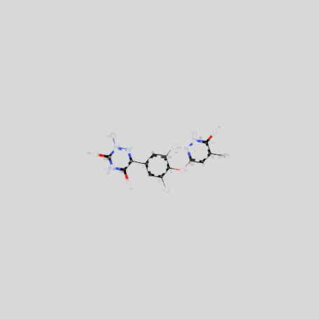 CCn1nc(-c2cc(Cl)c(Oc3cc(C(C)C)c(=O)[nH]n3)c(Cl)c2)c(=O)[nH]c1=O